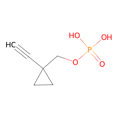 C#CC1(COP(=O)(O)O)CC1